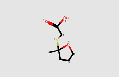 C[C@]1(SCC(=O)O)CCCO1